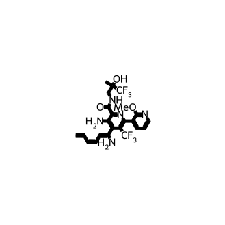 C=C/C=C\C=C(/N)c1c(N)c(C(=O)NCC(C)(O)C(F)(F)F)nc(-c2cccnc2OC)c1C(F)(F)F